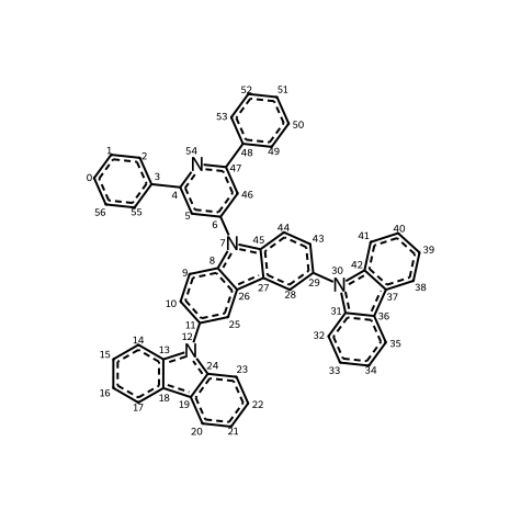 c1ccc(-c2cc(-n3c4ccc(-n5c6ccccc6c6ccccc65)cc4c4cc(-n5c6ccccc6c6ccccc65)ccc43)cc(-c3ccccc3)n2)cc1